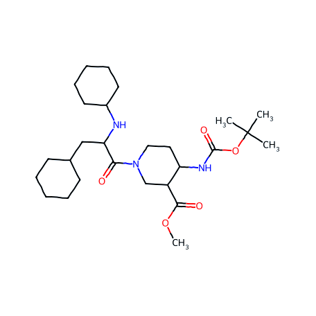 COC(=O)C1CN(C(=O)C(CC2CCCCC2)NC2CCCCC2)CCC1NC(=O)OC(C)(C)C